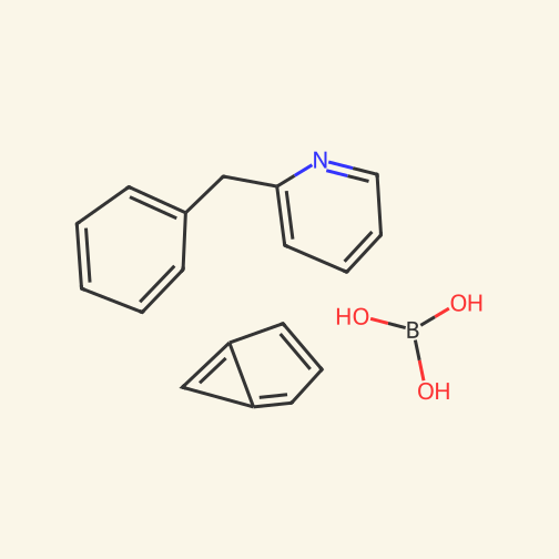 OB(O)O.c1cc2cc-2c1.c1ccc(Cc2ccccn2)cc1